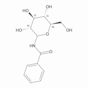 O=C(NC1O[C@H](CO)[C@@H](O)[C@H](O)[C@H]1O)c1ccccc1